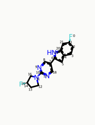 Fc1ccc2cc(-c3cnc(N4CC[C@@H](F)C4)nc3)[nH]c2c1